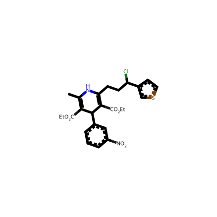 CCOC(=O)C1=C(C)NC(CCC(Cl)c2ccsc2)=C(C(=O)OCC)C1c1cccc([N+](=O)[O-])c1